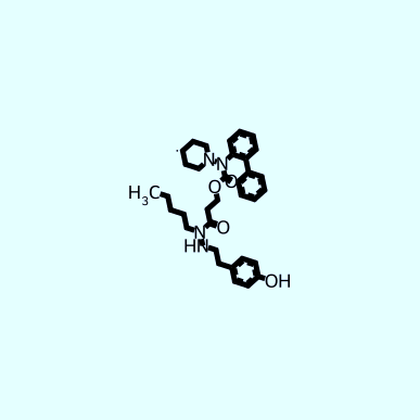 CCCCCN(NCCc1ccc(O)cc1)C(=O)CCOC(=O)N(c1ccccc1-c1ccccc1)N1CC[CH]CC1